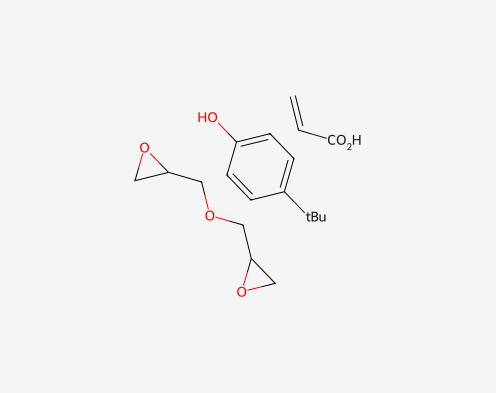 C(OCC1CO1)C1CO1.C=CC(=O)O.CC(C)(C)c1ccc(O)cc1